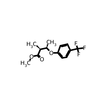 COC(=O)[C@@H](C)[C@@H](C)Oc1ccc(C(F)(F)F)cc1